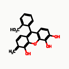 C=c1ccc2c(c1O)Oc1c(ccc(O)c1O)C=2c1ccccc1C(=O)O